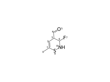 CC1=CC(C=O)C(F)NS1